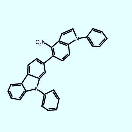 O=[N+]([O-])c1c(-c2ccc3c4ccccc4n(-c4ccccc4)c3c2)ccc2c1ccn2-c1ccccc1